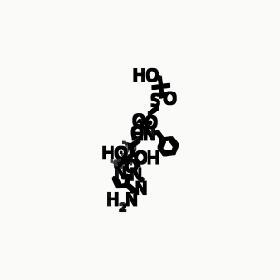 CO[C@](O)(C(O)[C@H](C)COP(=O)(NCc1ccccc1)OCCSC(=O)C(C)(C)CO)[C@@H](C)n1ccc2c(N)ncnc21